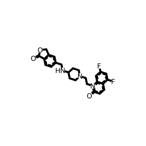 O=C1OCc2cc(CNC3CCN(CCn4c(=O)ccc5c(F)cc(F)cc54)CC3)ccc21